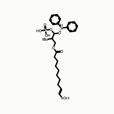 CCCCCCCCC=CCCCCCCCC(=O)OCC(C(O[SiH](c1ccccc1)c1ccccc1)OP(=O)(O)O)C(C)(C)C